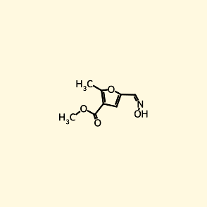 COC(=O)c1cc(/C=N\O)oc1C